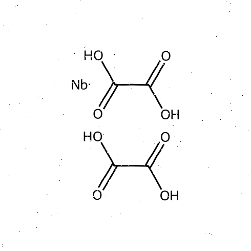 O=C(O)C(=O)O.O=C(O)C(=O)O.[Nb]